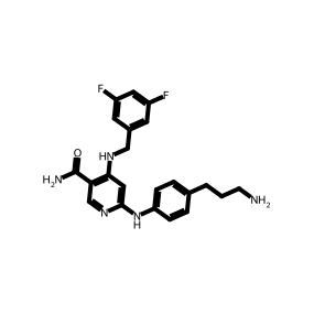 NCCCc1ccc(Nc2cc(NCc3cc(F)cc(F)c3)c(C(N)=O)cn2)cc1